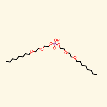 CCCCCCCCOCCOCCOP(=O)(O)OCCOCCOCCCCCCCC